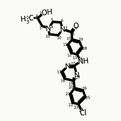 C[C@@H](O)CN1CCN(C(=O)c2ccc(Nc3nccc(-c4ccc(Cl)cc4)n3)cc2)CC1